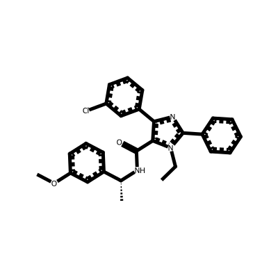 CCn1c(-c2ccccc2)nc(-c2cccc(Cl)c2)c1C(=O)N[C@H](C)c1cccc(OC)c1